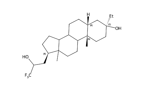 CC[C@]1(O)CC[C@]2(C)C3CCC4(C)C(CC[C@@H]4CC(O)C(F)(F)F)C3CC[C@@H]2C1